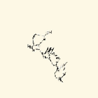 CC1CN(C)CCN1c1ccc2[nH]c(-c3n[nH]c4ccc(O)cc34)nc2c1